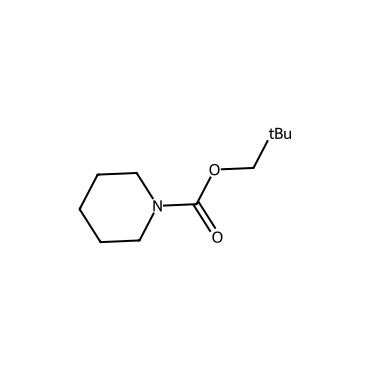 CC(C)(C)COC(=O)N1CCCCC1